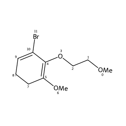 COCCOC1=C(OC)C[CH]C=C1Br